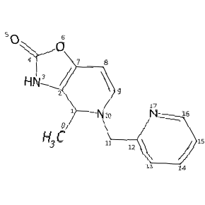 CC1c2[nH]c(=O)oc2C=CN1Cc1ccccn1